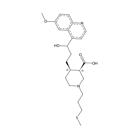 COc1ccc2nccc(C(O)CC[C@@H]3CCN(CCCSC)C[C@@H]3C(=O)O)c2c1